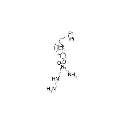 CC[C@H](CC[C@@H](C)[C@H]1CC[C@H]2[C@@H]3CC=C4C[C@@H](OC(=O)N(CCCN)CCCCNCCCN)CC[C@]4(C)C3CC[C@]12C)C(C)C